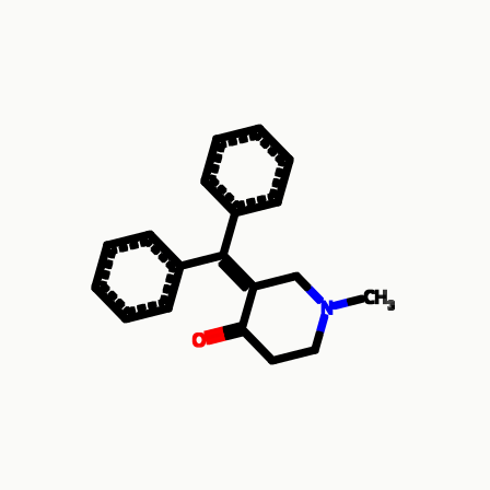 CN1CCC(=O)C(=C(c2ccccc2)c2ccccc2)C1